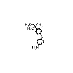 CCC(C)(C)c1ccc(Oc2ccc(N)cn2)cc1